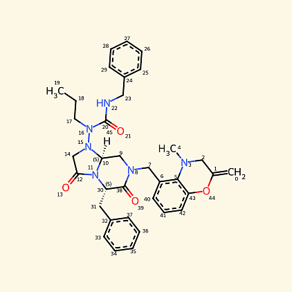 C=C1CN(C)c2c(CN3C[C@H]4N(C(=O)CN4N(CCC)C(=O)NCc4ccccc4)[C@@H](Cc4ccccc4)C3=O)cccc2O1